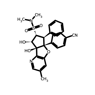 Cc1cnc2c(c1)O[C@@]1(c3ccc(C#N)cc3)[C@H](c3ccccc3)[C@@H](S(=O)(=O)N(C)C)[C@@H](O)[C@@]21O